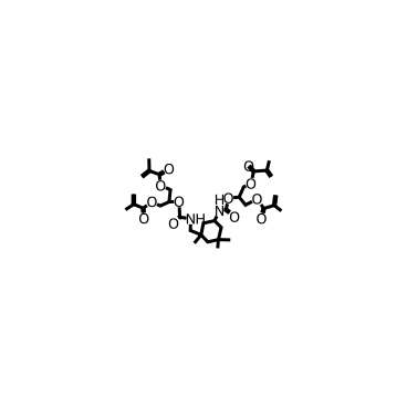 C=C(C)C(=O)OCC(COC(=O)C(=C)C)OC(=O)NCC1(C)CC(NC(=O)OC(COC(=O)C(=C)C)COC(=O)C(=C)C)CC(C)(C)C1